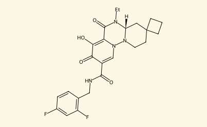 CCN1C(=O)c2c(O)c(=O)c(C(=O)NCc3ccc(F)cc3F)cn2N2CCC3(CCC3)C[C@@H]12